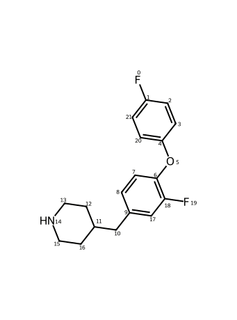 Fc1ccc(Oc2ccc(CC3CCNCC3)cc2F)cc1